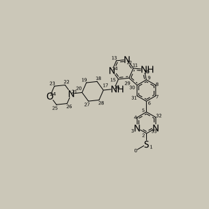 CSc1ncc(-c2ccc3[nH]c4ncnc(NC5CCC(N6CCOCC6)CC5)c4c3c2)cn1